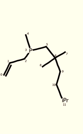 C=CCP(C)CC(C)(C)CCC(C)C